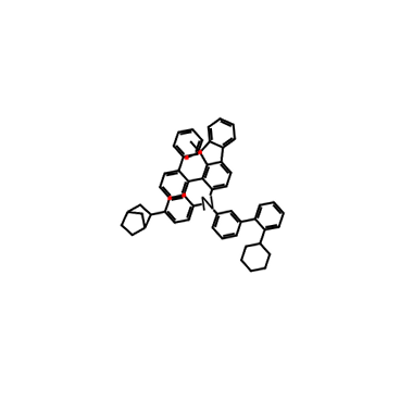 CC1(C)c2ccccc2-c2ccc(N(c3ccc(C4CC5CCC4C5)cc3)c3cccc(-c4ccccc4C4CCCCC4)c3)c(-c3ccccc3-c3ccccc3)c21